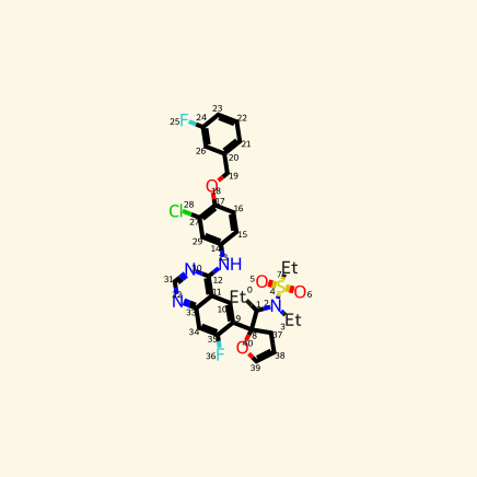 CCC(N(CC)S(=O)(=O)CC)C1(c2cc3c(Nc4ccc(OCc5cccc(F)c5)c(Cl)c4)ncnc3cc2F)CC=CO1